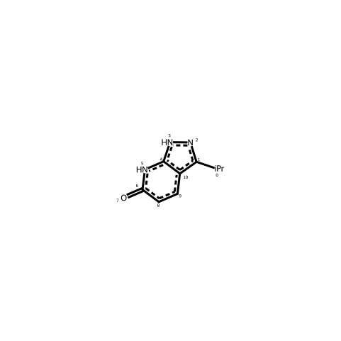 CC(C)c1n[nH]c2[nH]c(=O)ccc12